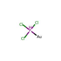 Cl[PH](Cl)(Cl)[Au]